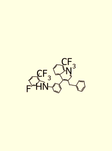 Fc1ccc(C(F)(F)F)c(CNc2cccc(-c3c(Cc4ccccc4)cnc4c(C(F)(F)F)cccc34)c2)c1